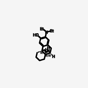 CCN(CC)c1cc2c(cc1O)[C@]13CCCC[C@@H]1[C@H](C2)NCC3